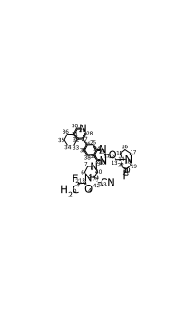 C=C(F)C(=O)N1CCN(c2nc(OCC34CCCN3C[C@H](F)C4)nc3cc(-c4cncc5c4CCCC5)ccc23)C[C@@H]1CC#N